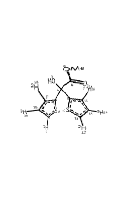 [2H]c1sc(C(O)(C(=O)OC)c2sc([2H])c([2H])c2[2H])c([2H])c1[2H]